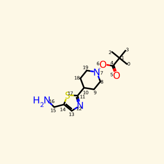 CC(C)(C)C(=O)ON1CCC(c2ncc(CN)s2)CC1